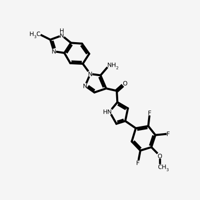 COc1c(F)cc(-c2c[nH]c(C(=O)c3cnn(-c4ccc5[nH]c(C)nc5c4)c3N)c2)c(F)c1F